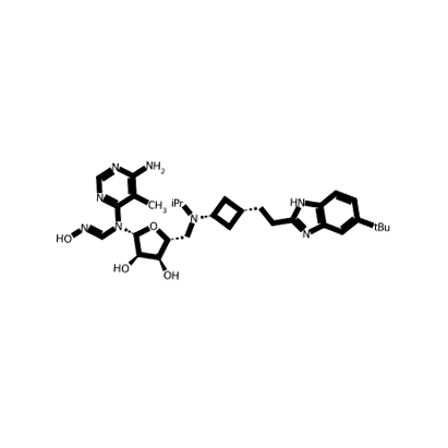 Cc1c(N)ncnc1N(/C=N/O)[C@@H]1O[C@H](CN(C(C)C)[C@H]2C[C@@H](CCc3nc4cc(C(C)(C)C)ccc4[nH]3)C2)[C@@H](O)[C@H]1O